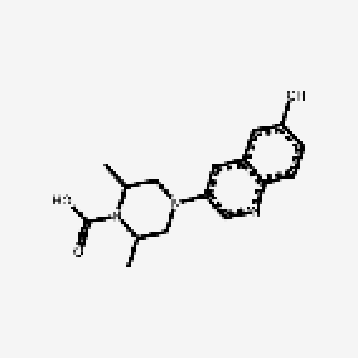 CC1CN(c2cnc3ccc(O)cc3c2)CC(C)N1C(=O)O